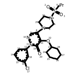 CC(C)S(=O)(=O)N1CCN(c2cnn(-c3cccc(Cl)c3)c(=O)c2OC2CCCCC2)CC1